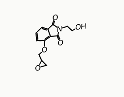 O=C1c2cccc(OCC3CO3)c2C(=O)N1CCO